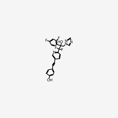 Oc1ccc(C#Cc2ccc(C(F)(F)C(O)(Cn3cncn3)c3ccc(F)cc3F)nc2)cc1